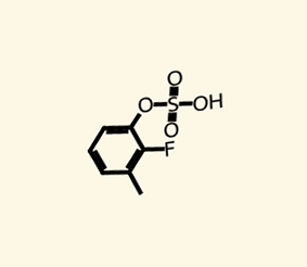 Cc1cccc(OS(=O)(=O)O)c1F